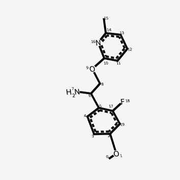 COc1ccc(C(N)COc2cccc(C)n2)c(F)c1